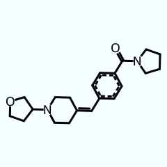 O=C(c1ccc(C=C2CCN(C3CCOC3)CC2)cc1)N1CCCC1